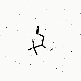 C=CCC(C(=O)O)C(C)(C)CC